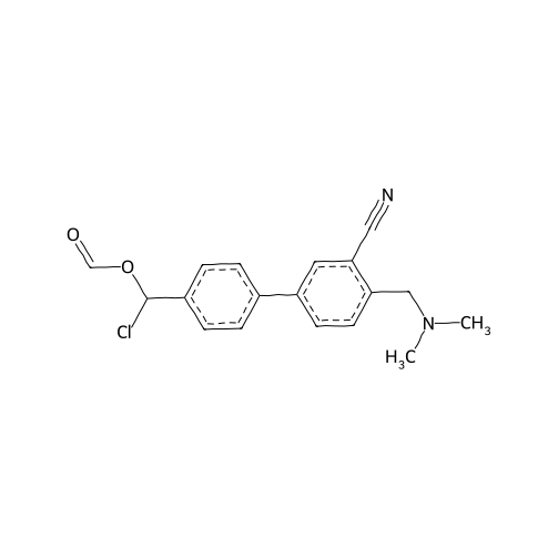 CN(C)Cc1ccc(-c2ccc(C(Cl)OC=O)cc2)cc1C#N